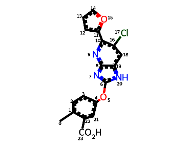 Cc1ccc(Oc2nc3nc(-c4ccco4)c(Cl)cc3[nH]2)cc1C(=O)O